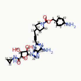 Nc1ccc(COC(=O)N2CCC(CC#Cc3nc(N)c4ncn([C@@H]5O[C@H](C(=O)NC6CC6)[C@H](O)C5O)c4n3)CC2)cc1